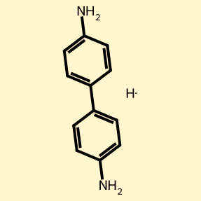 Nc1ccc(-c2ccc(N)cc2)cc1.[H]